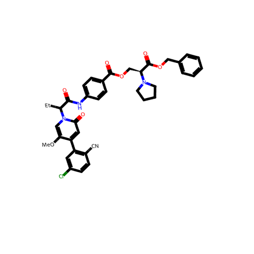 CCC(C(=O)Nc1ccc(C(=O)OC[C@@H](C(=O)OCc2ccccc2)N2CCCC2)cc1)n1cc(OC)c(-c2cc(Cl)ccc2C#N)cc1=O